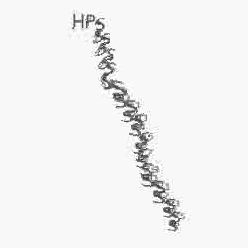 P=S=S=S=S=S=S=S=S=S=S=S=S=S=S=S=S=S=S=S=S=S=S=S=S=S=S